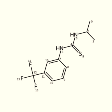 CC(C)NC(=S)Nc1cccc(C(F)(F)F)c1